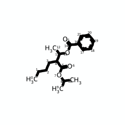 CCCCC(C(=O)OC(C)C)C(C)OC(=O)c1ccccc1